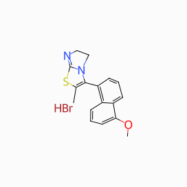 Br.COc1cccc2c(C3=C(C)SC4=NCCN43)cccc12